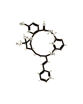 CC(C)(C)c1ccc2c(n1)N1CC(CCC(/C=C/c3cccnc3)Nc3cccc(n3)SNC2=O)CC1(C)C